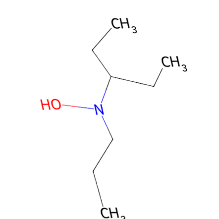 CCCN(O)C(CC)CC